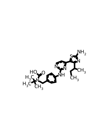 CCC(C)c1nc(N)sc1-c1ccnc(Nc2ccc(CN(C(=O)O)C(C)(C)C)cc2)n1